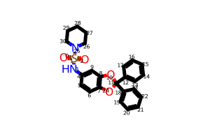 O=S(=O)(Nc1ccc2c(c1)OC(c1ccccc1)(c1ccccc1)O2)N1CCCCC1